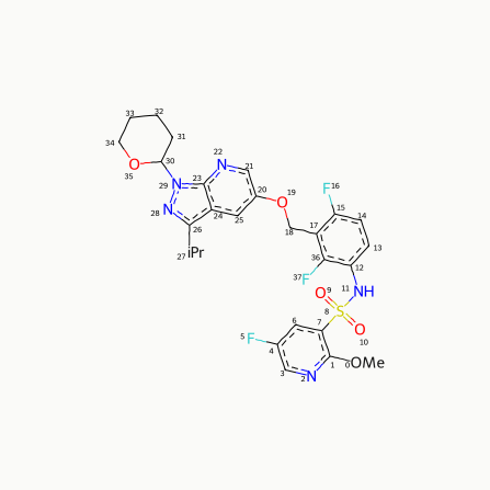 COc1ncc(F)cc1S(=O)(=O)Nc1ccc(F)c(COc2cnc3c(c2)c(C(C)C)nn3C2CCCCO2)c1F